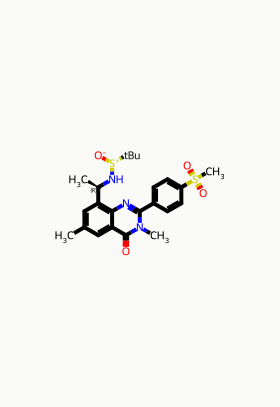 Cc1cc([C@@H](C)N[S+]([O-])C(C)(C)C)c2nc(-c3ccc(S(C)(=O)=O)cc3)n(C)c(=O)c2c1